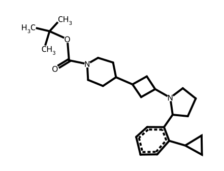 CC(C)(C)OC(=O)N1CCC(C2CC(N3CCCC3c3ccccc3C3CC3)C2)CC1